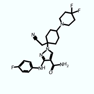 N#CCC1(n2cc(C(N)=O)c(Nc3ccc(F)cc3)n2)CCC(N2CCC(F)(F)CC2)CC1